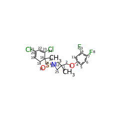 CC1(COc2ccc(F)c(F)c2)CN([S+]([O-])C2(C)CC=C(Cl)C=C2Cl)C1